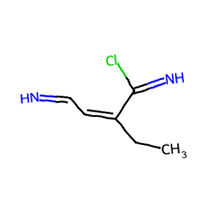 CC/C(=C/C=N)C(=N)Cl